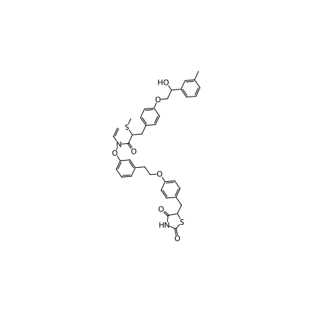 C=CN(Oc1cccc(CCOc2ccc(CC3SC(=O)NC3=O)cc2)c1)C(=O)C(Cc1ccc(OCC(O)c2cccc(C)c2)cc1)SC